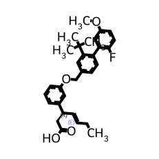 CC/C=C/[C@@H](CC(=O)O)c1cccc(OCc2ccc(-c3cc(OC)ccc3F)c(C(C)(C)C)c2)c1